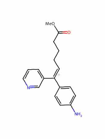 COC(=O)CCC/C=C(/c1ccc(N)cc1)c1cccnc1